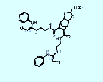 CCCCCCCC1OC2C3CC(C2O1)C(C(=O)NCCN/C(=N\Cl)Nc1ccccc1)C3C(=O)NCCN/C(=N/Cl)Nc1ccccc1